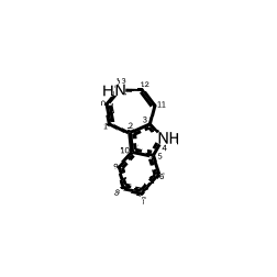 [C]1=Cc2c([nH]c3ccccc23)C=CN1